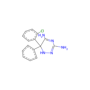 NC1=NNC(c2ccccc2)(c2ccccc2Cl)C(N)=N1